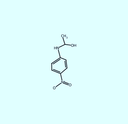 CC(O)Nc1ccc([N+](=O)[O-])cc1